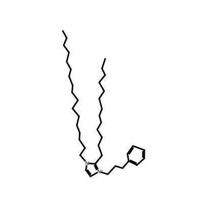 CCCCCCCCCCCCCCCCCn1cc[n+](CCCc2ccccc2)c1CCCCCCCCCCCCC